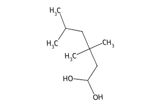 CC(C)CC(C)(C)CC(O)O